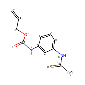 C=CCOC(=O)Nc1cccc(NC(=S)CCC)c1